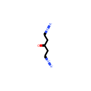 [N-]=[N+]=CCC(=O)CC=[N+]=[N-]